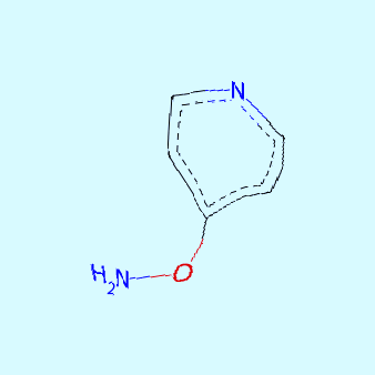 NOc1ccncc1